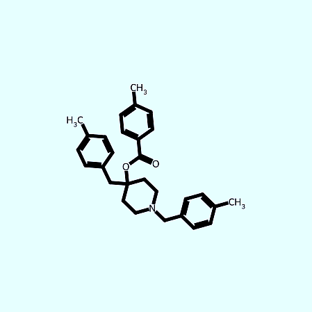 Cc1ccc(CN2CCC(Cc3ccc(C)cc3)(OC(=O)c3ccc(C)cc3)CC2)cc1